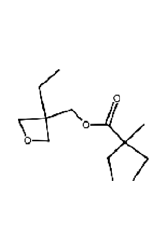 CCC1(COC(=O)C(C)(CC)CC)COC1